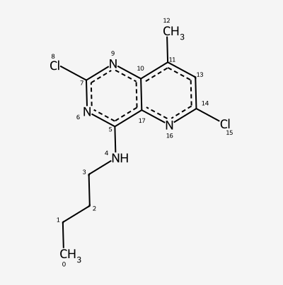 CCCCNc1nc(Cl)nc2c(C)cc(Cl)nc12